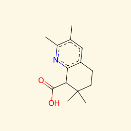 Cc1cc2c(nc1C)C(C(=O)O)C(C)(C)CC2